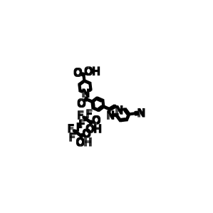 N#Cc1ccc2nc(-c3ccc(C(=O)N4CCC(C(=O)O)CC4)cc3)cn2c1.O=C(O)C(F)(F)F.O=C(O)C(F)(F)F